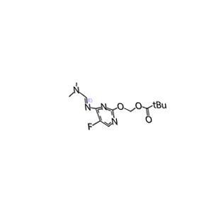 CN(C)/C=N/c1nc(OCOC(=O)C(C)(C)C)ncc1F